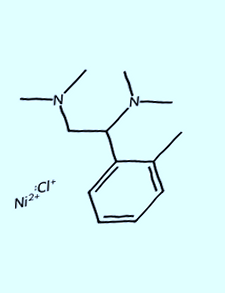 Cc1ccccc1C(CN(C)C)N(C)C.[Cl+].[Ni+2]